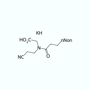 CCCCCCCCCCCC(=O)N(CCC#N)CC(=O)O.[KH]